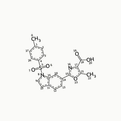 Cc1ccc(S(=O)(=O)n2ccc3ccc(-c4nc(C(=O)O)c(C)o4)cc32)cc1